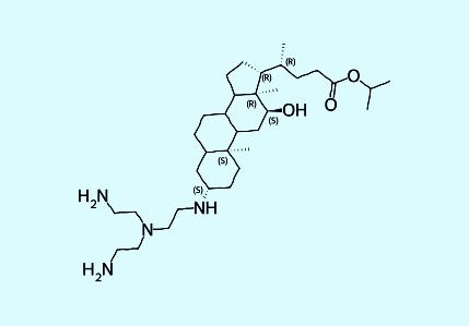 CC(C)OC(=O)CC[C@@H](C)[C@H]1CCC2C3CCC4C[C@@H](NCCN(CCN)CCN)CC[C@]4(C)C3C[C@H](O)[C@@]21C